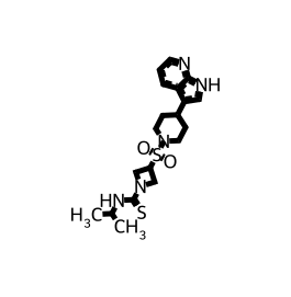 CC(C)NC(=S)N1CC(S(=O)(=O)N2CCC(c3c[nH]c4ncccc34)CC2)C1